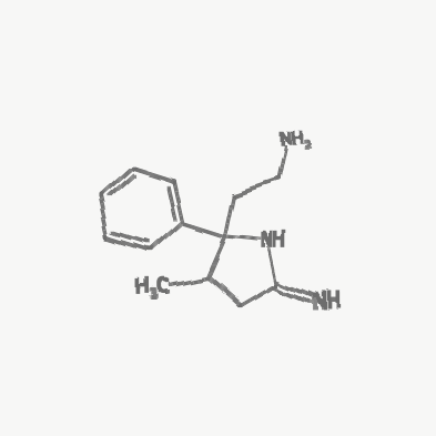 CC1CC(=N)NC1(CCN)c1ccccc1